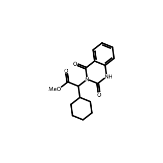 COC(=O)C(C1CCCCC1)n1c(=O)[nH]c2ccccc2c1=O